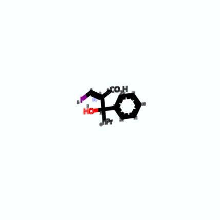 CCCC(O)(/C(=C\I)C(=O)O)c1ccccc1